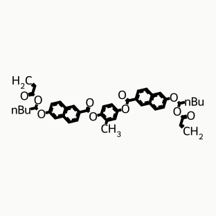 C=CC(=O)OC(CCCC)Oc1ccc2cc(C(=O)Oc3ccc(OC(=O)c4ccc5cc(OC(CCCC)OC(=O)C=C)ccc5c4)c(C)c3)ccc2c1